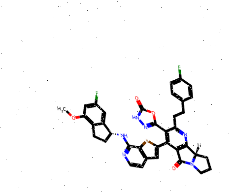 COc1cc(F)cc2c1CC[C@H]2Nc1nccc2cc(-c3c4c(nc(CCc5ccc(F)cc5)c3-c3n[nH]c(=O)o3)[C@@H]3CCCN3C4=O)sc12